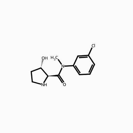 CN(C(=O)[C@H]1NCC[C@@H]1O)c1cccc(Cl)c1